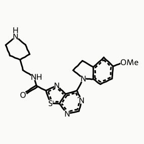 COc1ccc2c(c1)CCN2c1ncnc2sc(C(=O)NCC3CCNCC3)nc12